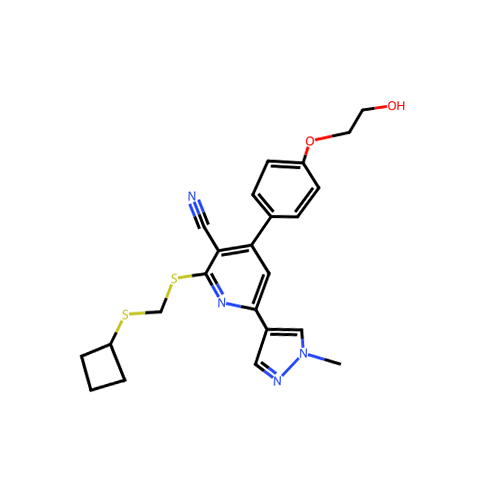 Cn1cc(-c2cc(-c3ccc(OCCO)cc3)c(C#N)c(SCSC3CCC3)n2)cn1